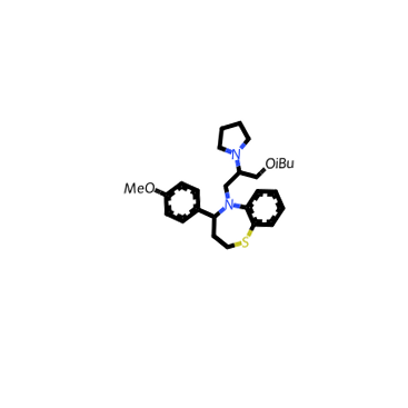 COc1ccc(C2CCSc3ccccc3N2CC(COCC(C)C)N2CCCC2)cc1